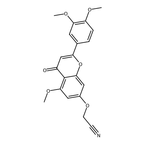 COc1ccc(-c2cc(=O)c3c(OC)cc(OCC#N)cc3o2)cc1OC